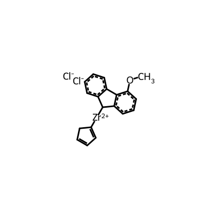 COc1cccc2c1-c1ccccc1[CH]2[Zr+2][C]1=CC=CC1.[Cl-].[Cl-]